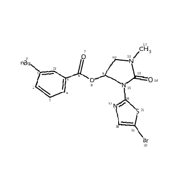 CCCCc1cccc(C(=O)OC2CN(C)C(=O)N2c2ncc(Br)s2)c1